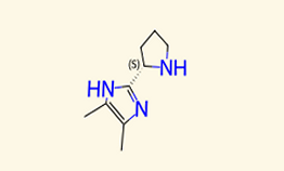 Cc1nc([C@@H]2CCCN2)[nH]c1C